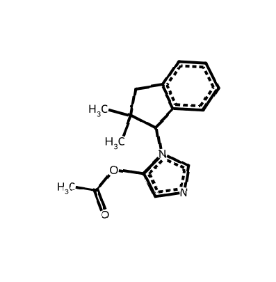 CC(=O)Oc1cncn1C1c2ccccc2CC1(C)C